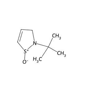 CC(C)(C)N1CC=C[S+]1[O-]